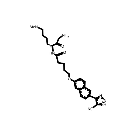 CNCCCC[C@H](NC(=O)CCCCOc1ccc2cc(-c3nn[nH]c3C#N)ccc2c1)C(=O)CN